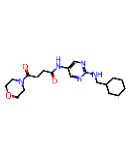 O=C(CCC(=O)N1CCOCC1)Nc1cnc(NCC2CCCCC2)nc1